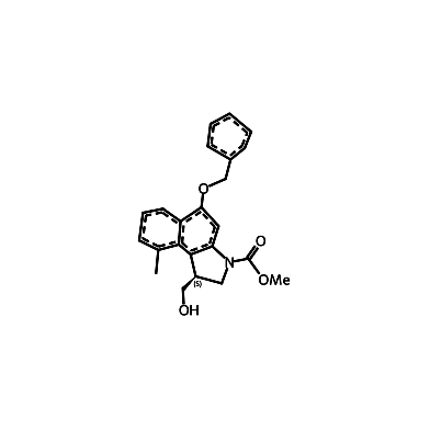 COC(=O)N1C[C@@H](CO)c2c1cc(OCc1ccccc1)c1cccc(C)c21